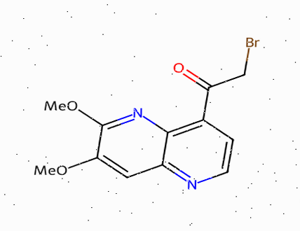 COc1cc2nccc(C(=O)CBr)c2nc1OC